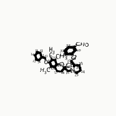 Cc1c(C)c2c(c(C)c1OCc1ccccc1)CCC(C)(CN1CCCC1COc1cccc(C=O)c1)O2